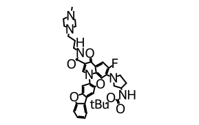 CN1CCN(CCCNC(=O)c2cn3c4c(c(N5CCC(NC(=O)OC(C)(C)C)C5)c(F)cc4c2=O)Oc2cc4c(cc2-3)oc2ccccc24)CC1